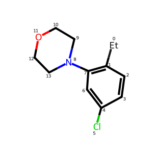 CCc1ccc(Cl)cc1N1CCOCC1